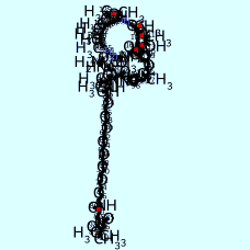 CO[C@H]1/C=C/O[C@@]2(C)Oc3c(C)c(O)c4c(=O)c(c5oc6cc(OCC[N+](C)(C)Cc7ccc(NC(=O)[C@H](CCCNC(N)=O)NC(=O)[C@@H](NC(=O)CCOCCOCCOCCOCCOCCOCCOCCOCCNC(=O)CCN8C(=O)CC(C(C)(C)C)C8=O)C(C)C)cc7)ccc6nc-5c4c3C2=O)NC(=O)/C(C)=C\C=C\[C@H](C)[C@H](O)[C@@H](C)[C@@H](C)[C@@H](C)[C@H](OC(C)=O)[C@@H]1C